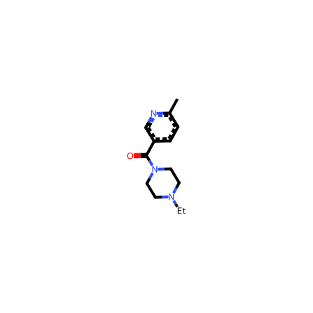 CCN1CCN(C(=O)c2ccc(C)nc2)CC1